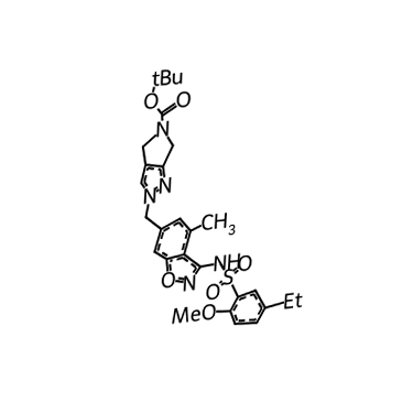 CCc1ccc(OC)c(S(=O)(=O)Nc2noc3cc(Cn4cc5c(n4)CN(C(=O)OC(C)(C)C)C5)cc(C)c23)c1